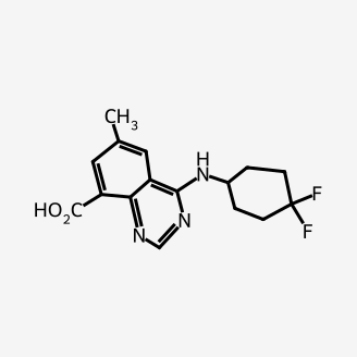 Cc1cc(C(=O)O)c2ncnc(NC3CCC(F)(F)CC3)c2c1